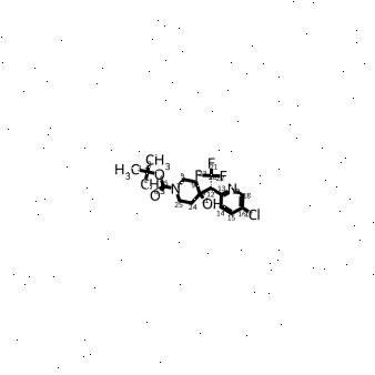 CC(C)(C)OC(=O)N1CCC(O)([C@@H](c2ccc(Cl)cn2)C(F)(F)F)CC1